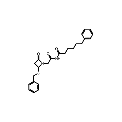 O=C(CCCCCc1ccccc1)NC(=O)CN1C(=O)CC1SCc1ccccc1